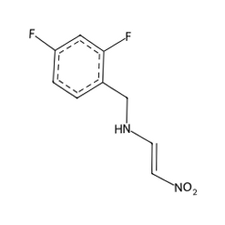 O=[N+]([O-])C=CNCc1ccc(F)cc1F